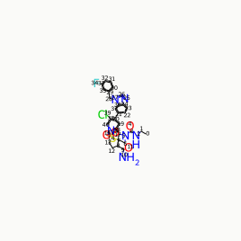 CCNC(=O)N1CC2(C(C(N)=O)CCS2(=O)=O)C1c1cc(-c2ccc3ncn(Cc4cccc(F)c4)c3c2)c(Cl)cn1